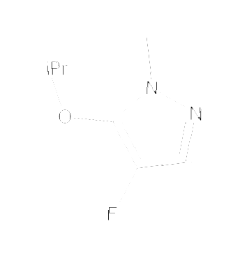 CC(C)Oc1c(F)[c]nn1C